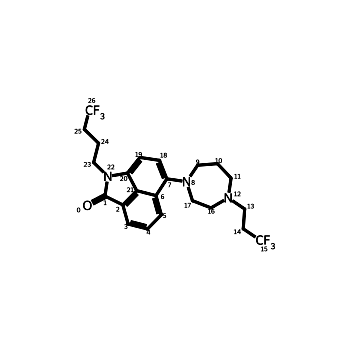 O=C1c2cccc3c(N4CCCN(CCC(F)(F)F)CC4)ccc(c23)N1CCCC(F)(F)F